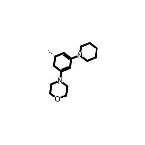 C[C@@H]1C=C(N2CCCCC2)C=C(N2CCOCC2)C1